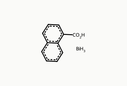 O=C(O)c1cccc2ccccc12.[BiH3]